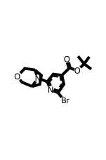 CC(C)(C)OC(=O)c1cc(Br)nc(N2C3CCC2COC3)c1